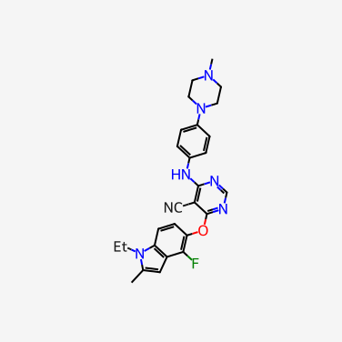 CCn1c(C)cc2c(F)c(Oc3ncnc(Nc4ccc(N5CCN(C)CC5)cc4)c3C#N)ccc21